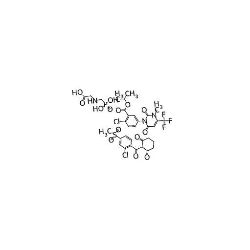 CC(C)OC(=O)c1cc(-n2c(=O)cc(C(F)(F)F)n(C)c2=O)ccc1Cl.CS(=O)(=O)c1ccc(C(=O)C2C(=O)CCCC2=O)c(Cl)c1.O=C(O)CNCP(=O)(O)O